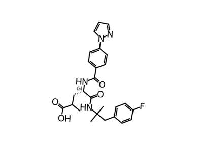 CC(C[C@H](NC(=O)c1ccc(-n2cccn2)cc1)C(=O)NC(C)(C)Cc1ccc(F)cc1)C(=O)O